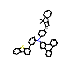 CC1(C)C2=C(C=CC=CC2)C2=C[C@@H](c3ccc(N(c4cccc(-c5cccc6c5sc5ccccc56)c4)c4ccc5c6ccccc6c6ccccc6c5c4)cc3)C21